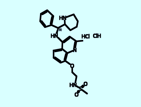 Cc1cc(N[C@@H](c2ccccc2)C2CCCCN2)c2cccc(OCCNS(C)(=O)=O)c2n1.Cl.Cl